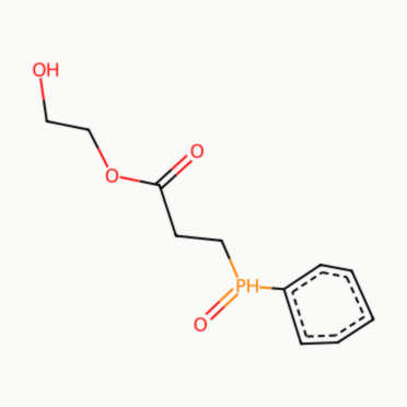 O=C(CC[PH](=O)c1ccccc1)OCCO